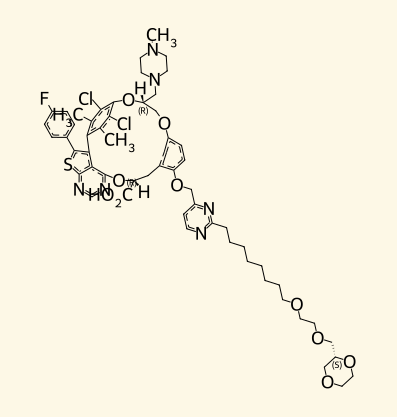 Cc1c(Cl)c2c(Cl)c(C)c1-c1c(-c3ccc(F)cc3)sc3ncnc(c13)O[C@@H](C(=O)O)Cc1cc(ccc1OCc1ccnc(CCCCCCCCOCCOC[C@H]3COCCO3)n1)OC[C@@H](CN1CCN(C)CC1)O2